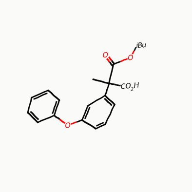 CCC(C)OC(=O)C(C)(C(=O)O)c1cccc(Oc2ccccc2)c1